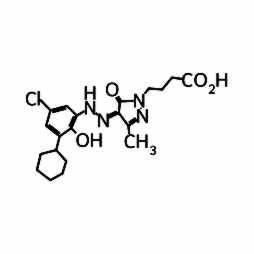 CC1=NN(CCCC(=O)O)C(=O)/C1=N\Nc1cc(Cl)cc(C2CCCCC2)c1O